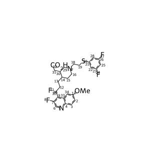 COc1ccc2ncc(F)c([C@H](F)CCC3CCN(CCSc4cc(F)cc(F)c4)CC3CC(=O)O)c2c1